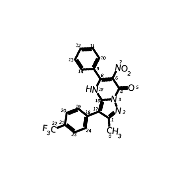 Cc1nn2c(=O)c([N+](=O)[O-])c(-c3ccccc3)[nH]c2c1-c1ccc(C(F)(F)F)cc1